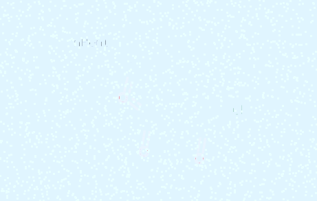 CCCCCc1ccc(C(=O)Cl)c(=O)o1